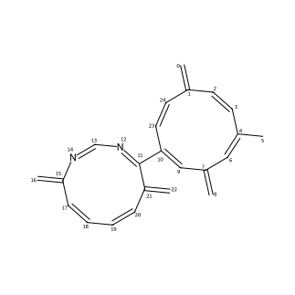 C=c1ccc(C)cc(=C)cc(-c2ncnc(=C)ccccc2=C)cc1